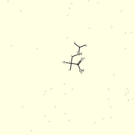 CC(C)NCC(C)(F)C(=O)O